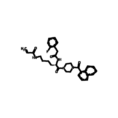 C=CC(=O)NCCCC[C@H](NC(=O)Cc1ccccc1F)C(=O)N1CCN(C(=O)c2cccc3ccccc23)CC1